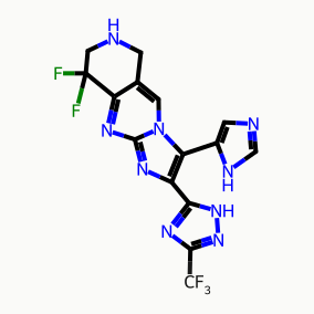 FC(F)(F)c1n[nH]c(-c2nc3nc4c(cn3c2-c2cnc[nH]2)CNCC4(F)F)n1